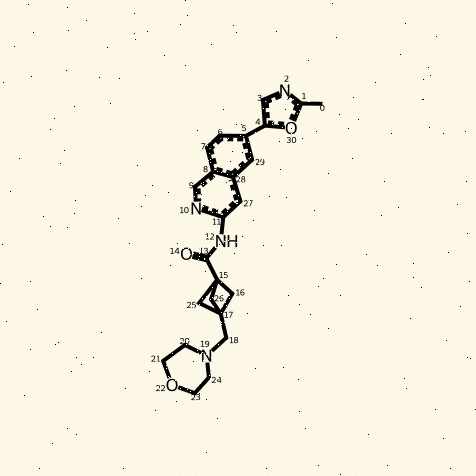 Cc1ncc(-c2ccc3cnc(NC(=O)C45CC(CN6CCOCC6)(C4)C5)cc3c2)o1